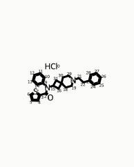 Cl.O=C(c1cccs1)N(c1ccccc1)C1CC2(CCN(CCc3ccccc3)CC2)C1